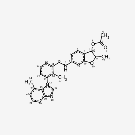 CC(=O)O[C@H]1c2ccc(NCc3cccc(-n4cnc5cccc(C)c54)c3C)cc2OC1C